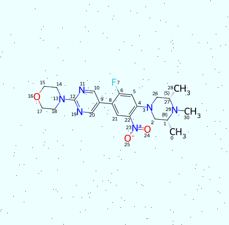 C[C@@H]1CN(c2cc(F)c(-c3cnc(N4CCOCC4)nc3)cc2[N+](=O)[O-])C[C@H](C)N1C